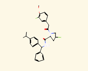 COc1ccc(CC(=O)N2CC(F)CC2C(=O)NC(c2ccccc2)c2ccc(C(C)C)cc2)cc1F